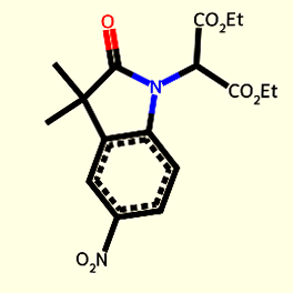 CCOC(=O)C(C(=O)OCC)N1C(=O)C(C)(C)c2cc([N+](=O)[O-])ccc21